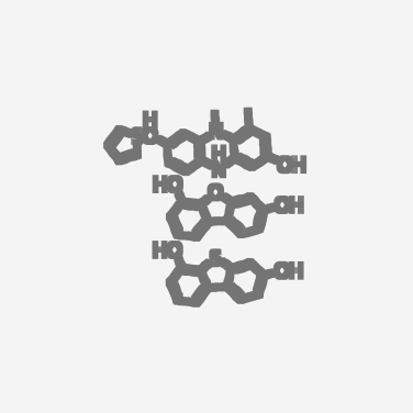 Cc1cc(O)cc2c1N(C)c1cc(O)ccc1N2.Oc1ccc2c(c1)oc1c(O)cccc12.Oc1ccc2c(c1)sc1c(O)cccc12.c1ccsc1